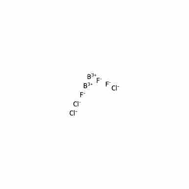 [B+3].[B+3].[Cl-].[Cl-].[Cl-].[F-].[F-].[F-]